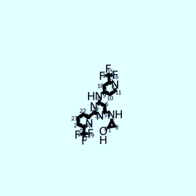 OC1CC1Nc1cc(Nc2ccnc(C(F)(F)F)c2)nc(-c2cccc(C(F)(F)F)n2)n1